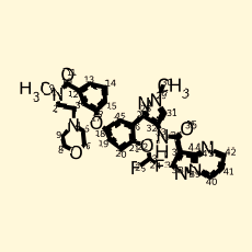 CN(CCN1CCOCC1)C(=O)c1cccc(Oc2ccc(OC(F)F)c(-c3nn(C)cc3NC(=O)c3cnn4cccnc34)c2)c1